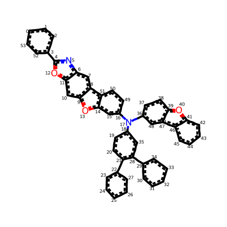 c1ccc(-c2nc3cc4c(cc3o2)oc2cc(N(c3ccc(-c5ccccc5)c(-c5ccccc5)c3)c3ccc5oc6ccccc6c5c3)ccc24)cc1